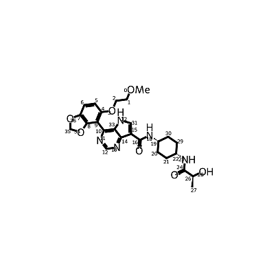 COCCOc1ccc2c(c1-c1ncnc3c(C(=O)N[C@H]4CC[C@@H](NC(=O)[C@H](C)O)CC4)c[nH]c13)OCO2